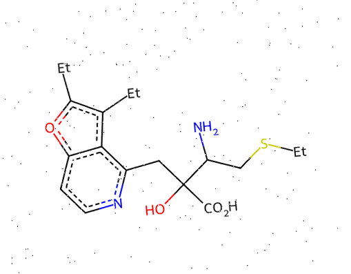 CCSCC(N)C(O)(Cc1nccc2oc(CC)c(CC)c12)C(=O)O